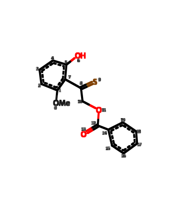 COc1cccc(O)c1C(=S)COC(=O)c1ccccc1